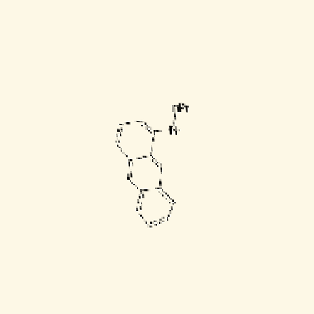 CCC[N]c1cccc2cc3ccccc3cc12